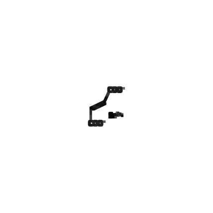 O=C([O-])C=CC(=O)[O-].[Sn+2]